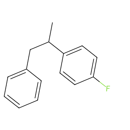 CC(Cc1ccccc1)c1ccc(F)cc1